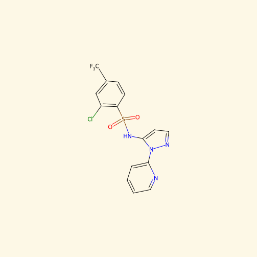 O=S(=O)(Nc1ccnn1-c1ccccn1)c1ccc(C(F)(F)F)cc1Cl